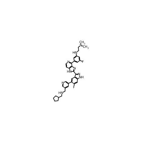 CN(C)CCNc1cc(F)cc(-c2nccc3[nH]c(-c4n[nH]c5cc(F)c(-c6cncc(CNCC7CCCC7)c6)cc45)nc23)c1